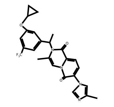 Cc1cn(-c2ccc3c(=O)n(C(C)c4cc(OC5CC5)cc(C(F)(F)F)c4)c(C)cn3c2=O)cn1